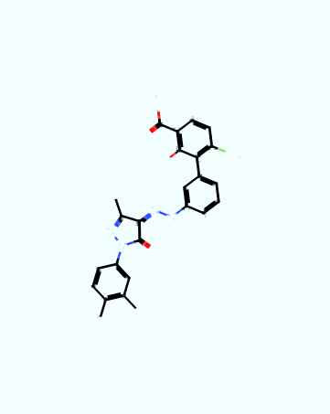 CC1=NN(c2ccc(C)c(C)c2)C(=O)C1=NNc1cccc(-c2c(F)ccc(C(=O)O)c2O)c1